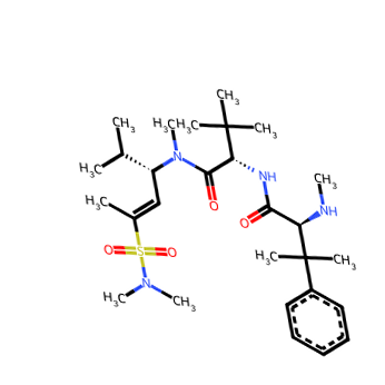 CN[C@H](C(=O)N[C@H](C(=O)N(C)[C@H](/C=C(\C)S(=O)(=O)N(C)C)C(C)C)C(C)(C)C)C(C)(C)c1ccccc1